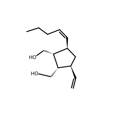 C=C[C@@H]1C[C@H](/C=C\CCC)[C@@H](CO)[C@H]1CO